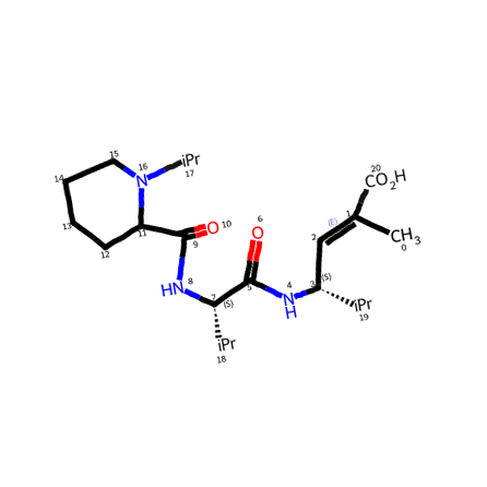 C/C(=C\[C@@H](NC(=O)[C@@H](NC(=O)C1CCCCN1C(C)C)C(C)C)C(C)C)C(=O)O